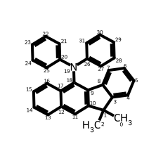 CC1(C)c2ccccc2-c2c1cc1ccccc1c2N(c1ccccc1)c1ccccc1